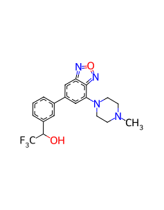 CN1CCN(c2cc(-c3cccc(C(O)C(F)(F)F)c3)cc3nonc23)CC1